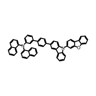 c1cc(-c2ccc(-c3ccc4c(c3)c3ccccc3n4-c3ccc4c(c3)oc3ccccc34)cc2)cc(N(c2cccc3ccccc23)c2cccc3ccccc23)c1